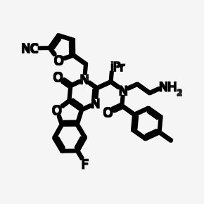 Cc1ccc(C(=O)N(CCN)C(c2nc3c(oc4ccc(F)cc43)c(=O)n2Cc2ccc(C#N)o2)C(C)C)cc1